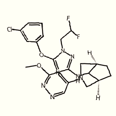 COc1cc(N2C[C@H]3CC[C@@H](C2)C3Nc2nc(Oc3cccc(Cl)c3)n(CC(F)F)n2)cnn1